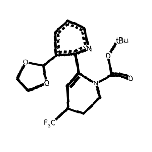 CC(C)(C)OC(=O)N1CCC(C(F)(F)F)C=C1c1ncccc1C1OCCO1